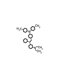 CCN(CC)c1cccc(C(=Cc2ccc(N(c3ccc(C)cc3)c3ccc(C)cc3)cc2)c2ccccc2)c1